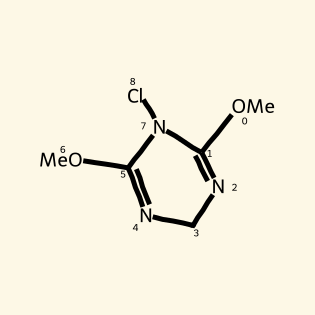 COC1=NCN=C(OC)N1Cl